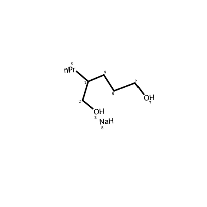 CCCC(CO)CCCO.[NaH]